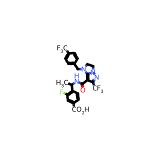 CC(NC(=O)c1c(C(F)(F)F)nn2c1N(Cc1ccc(C(F)(F)F)cc1)CC2)c1ccc(C(=O)O)cc1F